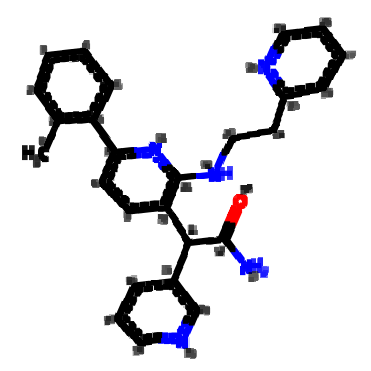 Cc1ccccc1-c1ccc(C(C(N)=O)c2cccnc2)c(NCCc2ccccn2)n1